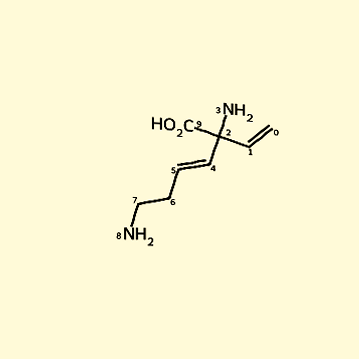 C=CC(N)(/C=C/CCN)C(=O)O